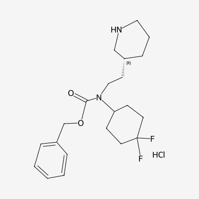 Cl.O=C(OCc1ccccc1)N(CC[C@H]1CCCNC1)C1CCC(F)(F)CC1